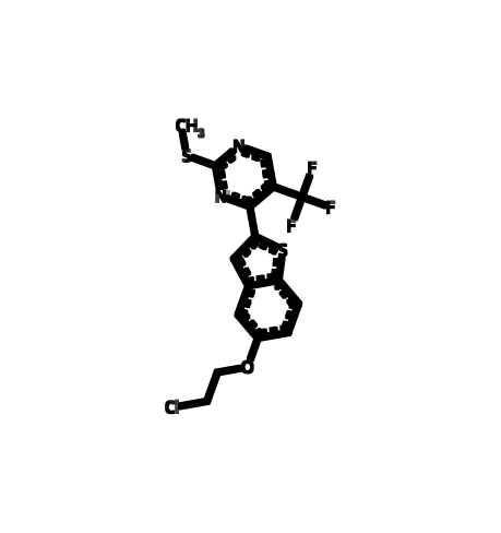 CSc1ncc(C(F)(F)F)c(-c2cc3cc(OCCCl)ccc3s2)n1